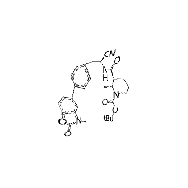 C[C@H]1[C@@H](C(=O)N[C@H](C#N)Cc2ccc(-c3ccc4oc(=O)n(C)c4c3)cc2)CCCN1C(=O)OC(C)(C)C